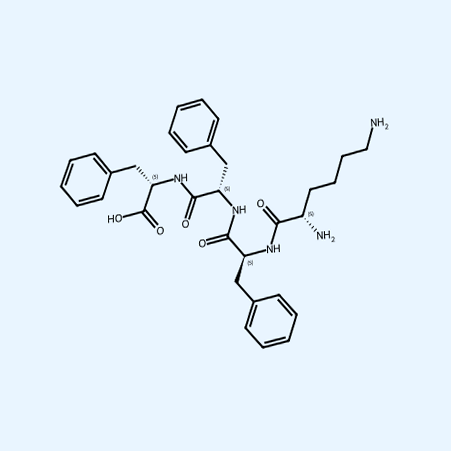 NCCCC[C@H](N)C(=O)N[C@@H](Cc1ccccc1)C(=O)N[C@@H](Cc1ccccc1)C(=O)N[C@@H](Cc1ccccc1)C(=O)O